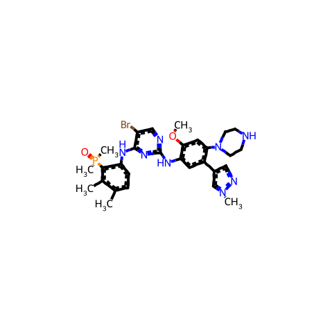 COc1cc(N2CCNCC2)c(-c2cnn(C)c2)cc1Nc1ncc(Br)c(Nc2ccc(C)c(C)c2P(C)(C)=O)n1